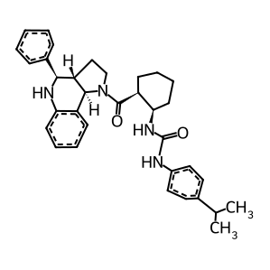 CC(C)c1ccc(NC(=O)N[C@@H]2CCCC[C@@H]2C(=O)N2CC[C@H]3[C@H](c4ccccc4)Nc4ccccc4[C@@H]32)cc1